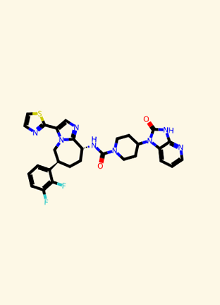 O=C(N[C@@H]1CC[C@@H](c2cccc(F)c2F)Cn2c(-c3nccs3)cnc21)N1CCC(n2c(=O)[nH]c3ncccc32)CC1